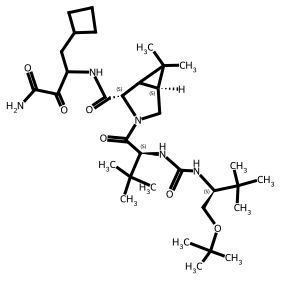 CC(C)(C)OC[C@@H](NC(=O)N[C@H](C(=O)N1C[C@H]2C([C@H]1C(=O)NC(CC1CCC1)C(=O)C(N)=O)C2(C)C)C(C)(C)C)C(C)(C)C